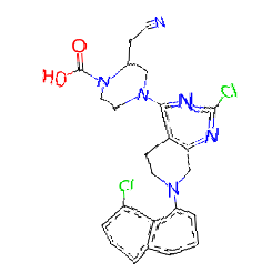 N#CCC1CN(c2nc(Cl)nc3c2CCN(c2cccc4cccc(Cl)c24)C3)CCN1C(=O)O